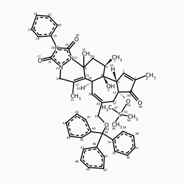 CC1=C[C@H]2[C@@]3(O)[C@H](C)CC4(C)C(=C(C)Cn5c(=O)n(-c6ccccc6)c(=O)n54)[C@@H]3C=C(COC(c3ccccc3)(c3ccccc3)c3ccccc3)C[C@]2(O[Si](C)(C)C)C1=O